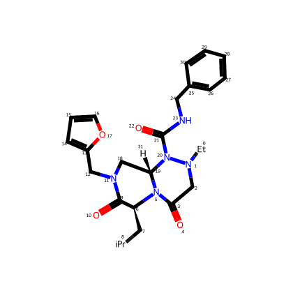 CCN1CC(=O)N2[C@@H](CC(C)C)C(=O)N(Cc3ccco3)C[C@@H]2N1C(=O)NCc1ccccc1